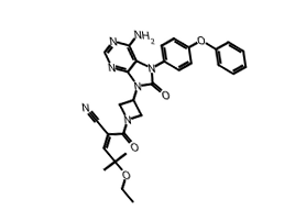 CCOC(C)(C)/C=C(/C#N)C(=O)N1CC(n2c(=O)n(-c3ccc(Oc4ccccc4)cc3)c3c(N)ncnc32)C1